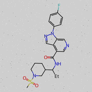 CCC(NC(=O)c1cncc2c1cnn2-c1ccc(F)cc1)C1CCCN(S(C)(=O)=O)C1